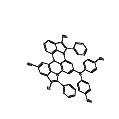 CCc1c(-c2ccccc2)n2c3c(cc(C(C)(C)C)cc13)B1c3c-2cc(N(c2ccc(C(C)(C)C)cc2)c2ccc(C(C)(C)C)cc2)cc3-n2c(-c3ccccc3)c(C(C)(C)C)c3cccc1c32